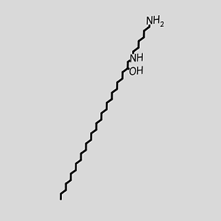 CCCCCCCCCCCCCCCCCCCCCCCCCCC(O)CNCCCCCCN